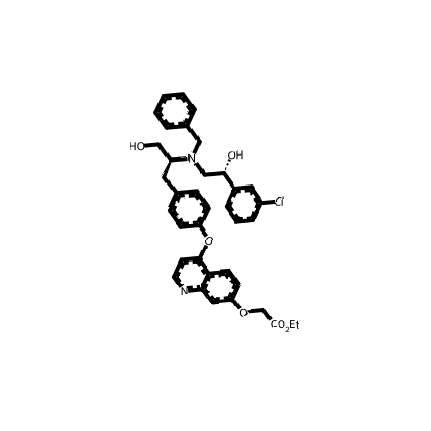 CCOC(=O)COc1ccc2c(Oc3ccc(C[C@@H](CO)N(Cc4ccccc4)C[C@H](O)c4cccc(Cl)c4)cc3)ccnc2c1